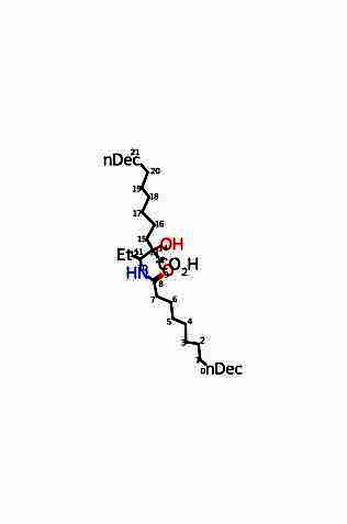 CCCCCCCCCCCCCCCCCC(=O)NC(CC)C(O)(CCCCCCCCCCCCCCCC)C(=O)O